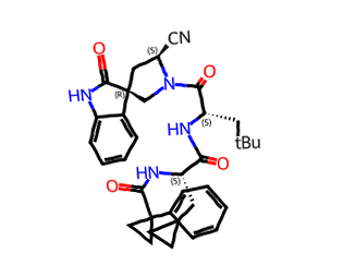 CC(C)(C)C[C@H](NC(=O)[C@H](CC1CC1)NC(=O)C1(c2ccccc2)CC1)C(=O)N1C[C@]2(C[C@H]1C#N)C(=O)Nc1ccccc12